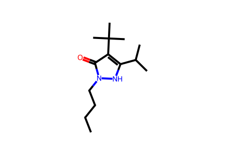 CCCCn1[nH]c(C(C)C)c(C(C)(C)C)c1=O